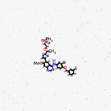 COc1cc2ncnc(Nc3ccc(OCc4cccc(F)c4)c(Br)c3)c2cc1-c1csc(C(C)OCCS(C)(=O)=O)n1